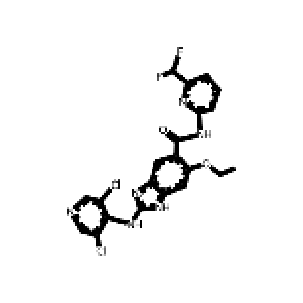 CCOc1cc2[nH]c(Nc3c(Cl)cncc3Cl)nc2cc1C(=O)Nc1cccc(C(F)F)n1